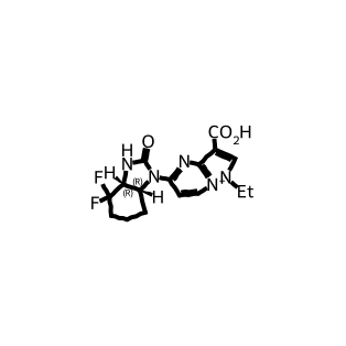 CCn1cc(C(=O)O)c2nc(N3C(=O)N[C@@H]4[C@H]3CCCC4(F)F)cc[n+]21